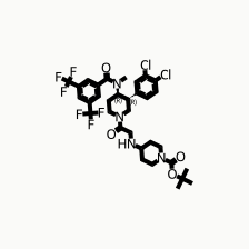 CN(C(=O)c1cc(C(F)(F)F)cc(C(F)(F)F)c1)[C@@H]1CCN(C(=O)CNC2CCN(C(=O)OC(C)(C)C)CC2)C[C@H]1c1ccc(Cl)c(Cl)c1